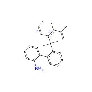 C=C(C)/C(C)=C(/C=C\C)C(C)(C)c1ccccc1-c1ccccc1N